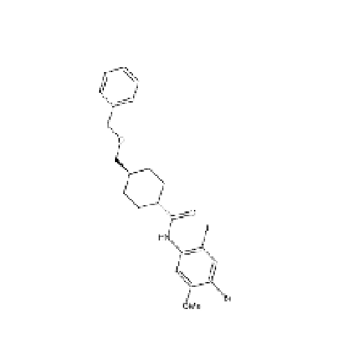 COc1cc(NC(=O)[C@H]2CC[C@H](COCc3ccccc3)CC2)c(I)cc1Br